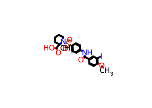 COc1ccc(C(=O)Nc2ccc(S(=O)(=O)N3CCCCC3(C)C(=O)O)cc2)cc1I